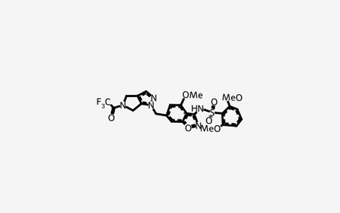 COc1cccc(OC)c1S(=O)(=O)Nc1noc2cc(Cn3ncc4c3CN(C(=O)C(F)(F)F)C4)cc(OC)c12